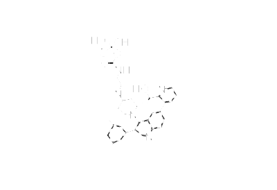 CC(C)(C)OC(=O)NCCNC1CCN(c2c(-c3cc(F)cc(F)c3)cnc3ccc(-c4cccnc4C(=O)O)cc23)CC1